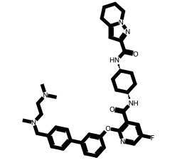 CN(C)CCN(C)Cc1ccc(-c2cccc(Oc3ncc(F)cc3C(=O)N[C@H]3CC[C@@H](NC(=O)c4cc5n(n4)CCCC5)CC3)c2)cc1